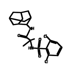 CC(C)(NS(=O)(=O)c1c(Cl)cccc1Cl)C(=O)NC1C2CC3CC(C2)CC1C3